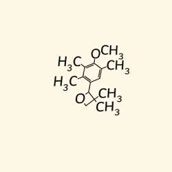 COc1c(C)cc(C2OCC2(C)C)c(C)c1C